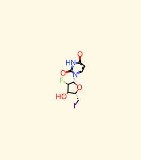 O=c1ccn([C@@H]2O[C@H](CI)[C@@H](O)[C@H]2F)c(=O)[nH]1